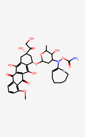 COc1cccc2c1C(=O)c1c(O)c3c(c(O)c1C2=O)C[C@@](O)(C(=O)CO)C[C@@H]3OC1CC(N(OC(N)=O)/C2=C/CCCCCC2)C(O)C(C)O1